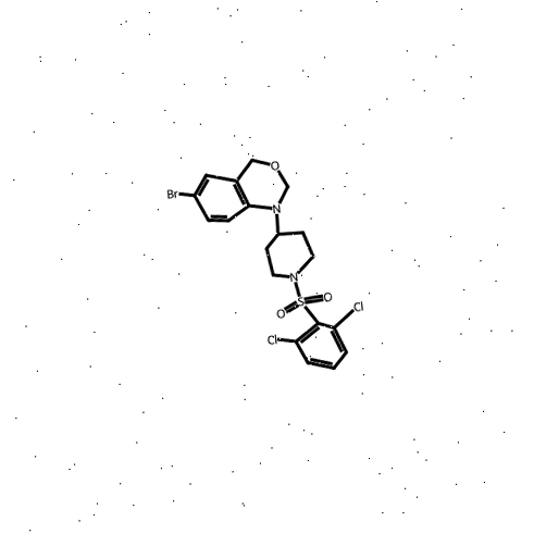 O=S(=O)(c1c(Cl)cccc1Cl)N1CCC(N2COCc3cc(Br)ccc32)CC1